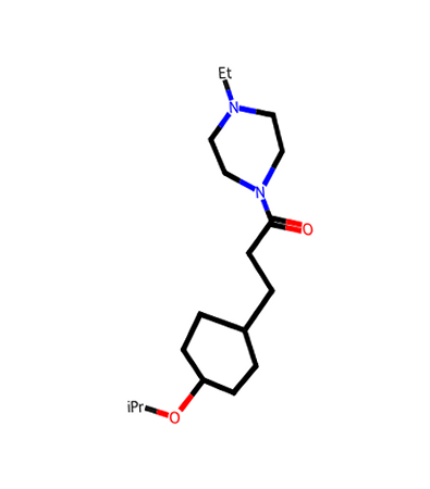 CCN1CCN(C(=O)CCC2CCC(OC(C)C)CC2)CC1